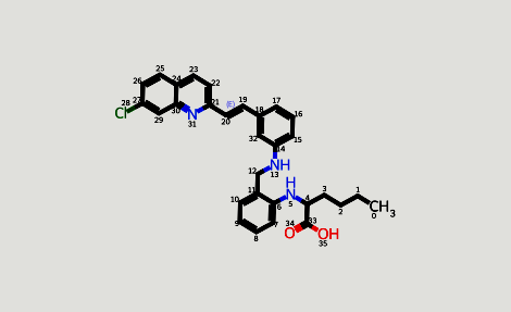 CCCCC(Nc1ccccc1CNc1cccc(/C=C/c2ccc3ccc(Cl)cc3n2)c1)C(=O)O